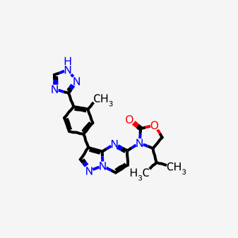 Cc1cc(-c2cnn3ccc(N4C(=O)OCC4C(C)C)nc23)ccc1-c1nc[nH]n1